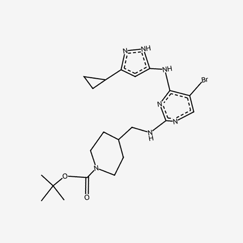 CC(C)(C)OC(=O)N1CCC(CNc2ncc(Br)c(Nc3cc(C4CC4)n[nH]3)n2)CC1